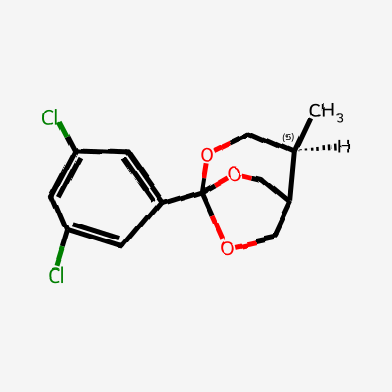 C[C@@H]1COC2(c3cc(Cl)cc(Cl)c3)OCC1CO2